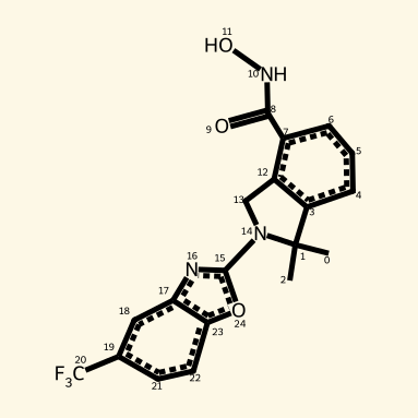 CC1(C)c2cccc(C(=O)NO)c2CN1c1nc2cc(C(F)(F)F)ccc2o1